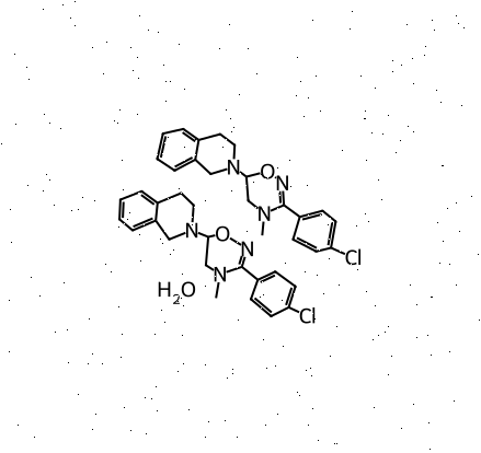 CN1CC(N2CCc3ccccc3C2)ON=C1c1ccc(Cl)cc1.CN1CC(N2CCc3ccccc3C2)ON=C1c1ccc(Cl)cc1.O